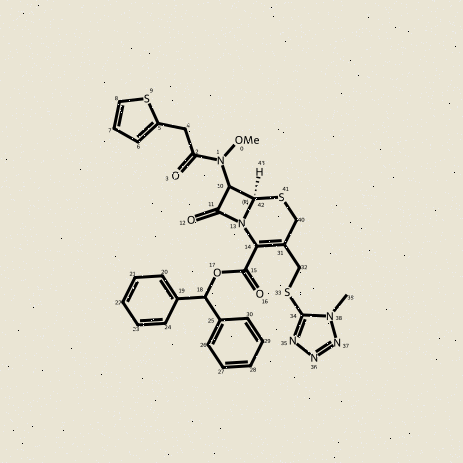 CON(C(=O)Cc1cccs1)C1C(=O)N2C(C(=O)OC(c3ccccc3)c3ccccc3)=C(CSc3nnnn3C)CS[C@H]12